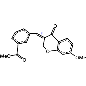 COC(=O)c1cccc(/C=C2\COc3cc(OC)ccc3C2=O)c1